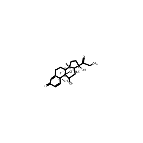 CC(=O)OCC(=O)[C@@]1(O)CC[C@H]2[C@@H]3CCC4=CC(=O)C=C[C@]4(C)[C@@]3(Cl)C(O)C[C@@]21C